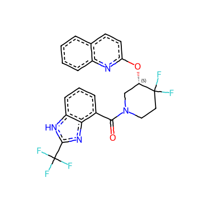 O=C(c1cccc2[nH]c(C(F)(F)F)nc12)N1CCC(F)(F)[C@@H](Oc2ccc3ccccc3n2)C1